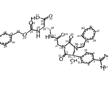 C[C@]1(c2ccc(C(=N)N)cc2)C(=O)N(CC(=O)NC[C@H](NC(=O)OCc2ccccc2)C(=O)O)C(=O)N1Cc1ccccc1